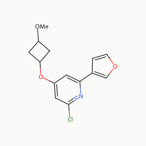 COC1CC(Oc2cc(Cl)nc(-c3ccoc3)c2)C1